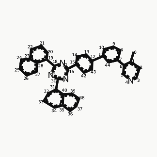 Cc1ccncc1-c1cccc(-c2ccc(-c3nc(-c4cccc5ccccc45)nc(-c4cccc5ccccc45)n3)cc2)c1